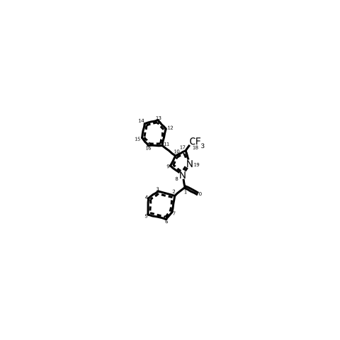 C=C(c1ccccc1)n1cc(-c2ccccc2)c(C(F)(F)F)n1